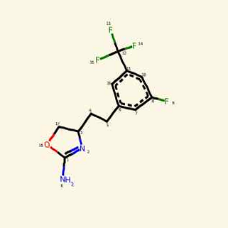 NC1=NC(CCc2cc(F)cc(C(F)(F)F)c2)CO1